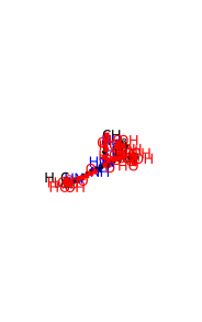 CCNC(=O)CCCCCCC(=O)N[C@@H](CCCCNC(=O)CCCCC(=O)NCCO[C@@H]1O[C@@H](C)[C@@H](O)[C@@H](O)[C@@H]1O)C(=O)NCCO[C@H]1O[C@H](CO[C@H]2O[C@H](CO)[C@@H](O)[C@H](O)[C@@H]2O)[C@@H](O)[C@H](O[C@H]2O[C@H](CO)[C@@H](O)[C@H](O)[C@@H]2O)[C@@H]1O